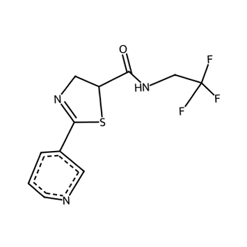 O=C(NCC(F)(F)F)C1CN=C(c2cccnc2)S1